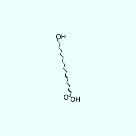 O=C(O)C=CC=CC=CCCCCCCCCCCO